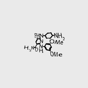 COc1cc(Nc2nc(NC3CCC(N)CC3)c(F)cc2C(N)=O)cc(OC)c1